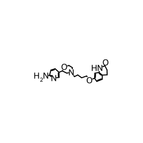 Nc1ccc(C2CN(CCCCOc3ccc4c(c3)NC(=O)CC4)CCO2)cn1